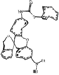 CCN(CC)c1ccc2c(c1)Oc1cc(NC(=O)Oc3ccccc3)ccc1C21OCc2ccccc21